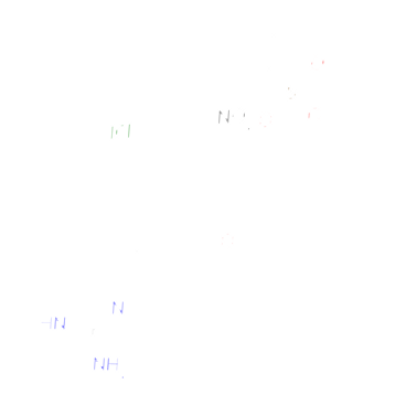 Cc1cc(OCC2CCN(C(=N)N)CC2)cc(OS(=O)(=O)c2ccccc2[N+](=O)[O-])c1.Cl